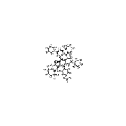 CC(C)(C)c1ccc(N2c3cc(-c4ccccc4)cc4c3B(c3cc(-c5ccccc5)cc5c3C4C3(C)CCCCC53C)c3oc4cc5c(cc4c32)C(C)(C)CCC5(C)C)cc1